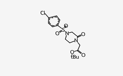 CC(C)(C)OC(=O)CN1CCN(S(=O)(=O)c2ccc(Cl)cc2)CC1=O